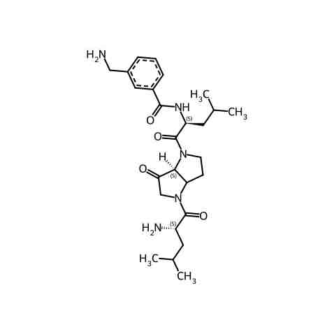 CC(C)C[C@H](NC(=O)c1cccc(CN)c1)C(=O)N1CCC2[C@H]1C(=O)CN2C(=O)[C@@H](N)CC(C)C